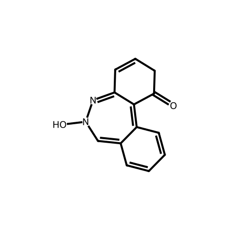 O=C1CC=CC2=NN(O)C=c3ccccc3=C12